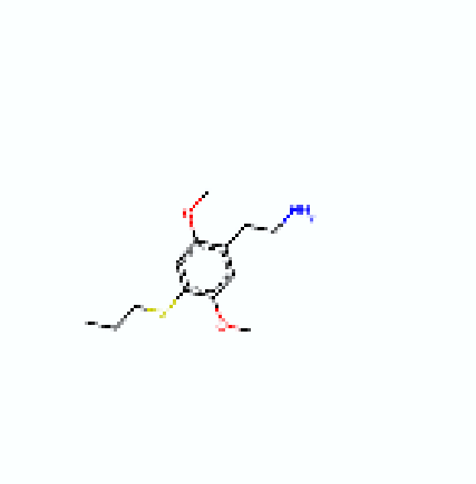 CCCSc1cc(OC)c(CCN)cc1OC